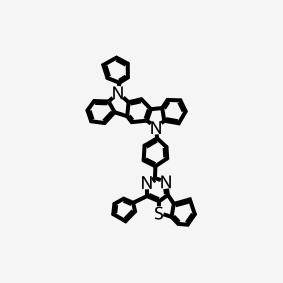 c1ccc(-c2nc(-c3ccc(-n4c5ccccc5c5cc6c(cc54)c4ccccc4n6-c4ccccc4)cc3)nc3c2sc2ccccc23)cc1